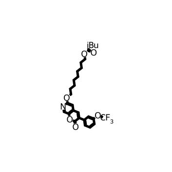 CCC(C)C(=O)OCCCCCCCCCOc1cc2cc(-c3cccc(OC(F)(F)F)c3)c(=O)oc2cn1